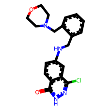 O=c1[nH]nc(Cl)c2cc(NCc3ccccc3CN3CCOCC3)ccc12